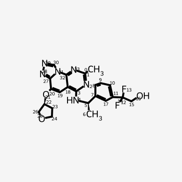 Cc1nc(N[C@H](C)c2cccc(C(F)(F)CO)c2)c2cc(O[C@H]3CCOC3)c3nncn3c2n1